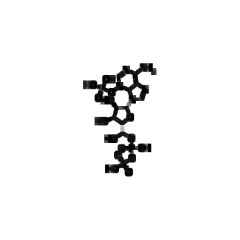 NC1=C2N=CN([C@@H]3O[C@H](C(O)OP(=O)(O)OS(=O)(=O)O)[C@@H](O)[C@H]3O)C2N(OP(=O)(O)O)C=N1